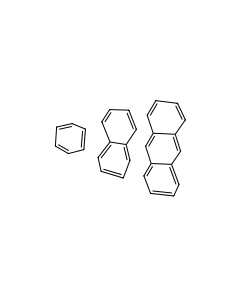 c1ccc2cc3ccccc3cc2c1.c1ccc2ccccc2c1.c1ccccc1